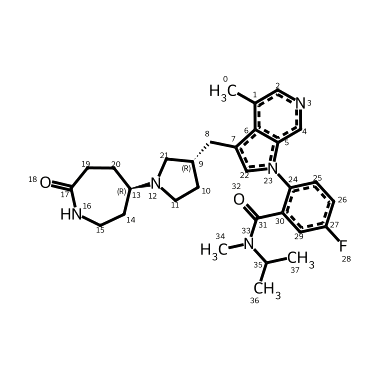 Cc1cncc2c1c(C[C@@H]1CCN([C@H]3CCNC(=O)CC3)C1)cn2-c1ccc(F)cc1C(=O)N(C)C(C)C